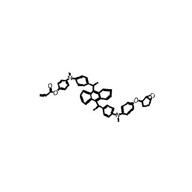 C=CC(=O)Oc1ccc(N(C)c2ccc(C(C)c3c4ccccc4c(C(C)c4ccc(N(C)c5ccc(OC6CCC7OC67)cc5)cc4)c4ccccc34)cc2)cc1